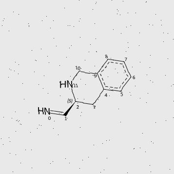 N=C[C@@H]1Cc2ccccc2CN1